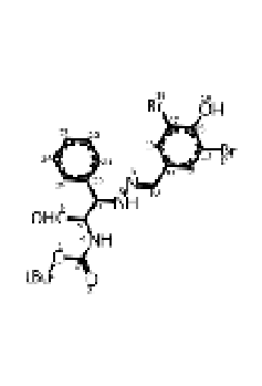 CC(C)(C)OC(=O)NC(C=O)C(NN=Cc1cc(Br)c(O)c(Br)c1)c1ccccc1